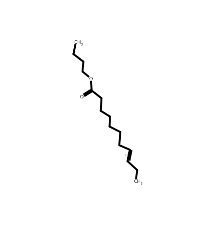 CC/C=C/CCCCCCC(=O)OCCCC